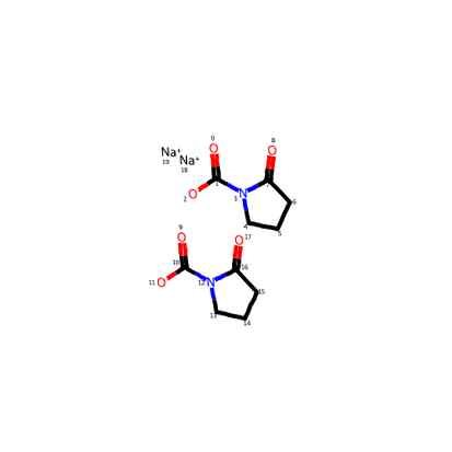 O=C([O-])N1CCCC1=O.O=C([O-])N1CCCC1=O.[Na+].[Na+]